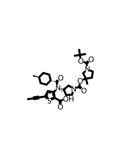 CC#Cc1cc(N(C(=O)[C@H]2CC[C@H](C)CC2)[C@H]2CCN(C(=O)OC3(C)CCN(C(=O)OC(C)(C)C)C3)C2)c(C(=O)O)s1